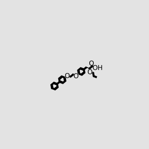 CCCO[C@@H](Cc1ccc(OCCOc2ccc(-c3ccccc3)cc2)cc1)C(=O)O